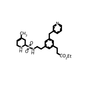 CCOC(=O)CCc1cc(CCNS(=O)(=O)C2CC(C)=CCN2)cc(Cc2cccnc2)c1